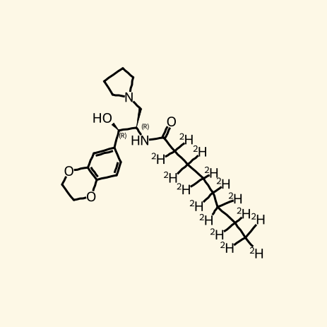 [2H]C([2H])([2H])C([2H])([2H])C([2H])([2H])C([2H])([2H])C([2H])([2H])C([2H])([2H])C([2H])([2H])C(=O)N[C@H](CN1CCCC1)[C@H](O)c1ccc2c(c1)OCCO2